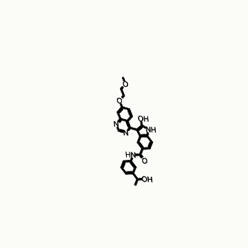 COCCOc1ccc2c(-c3c(O)[nH]c4ccc(C(=O)Nc5cccc(C(C)O)c5)cc34)ncnc2c1